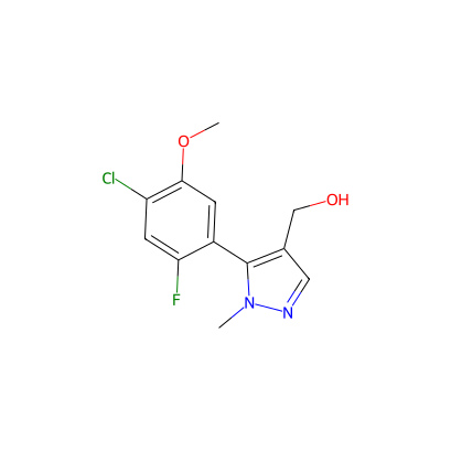 COc1cc(-c2c(CO)cnn2C)c(F)cc1Cl